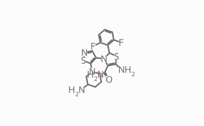 NC(=O)C1=C(N)SC(c2c(F)cccc2F)N1c1cnsc1N1CCCC(N)C1